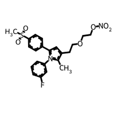 Cc1c(CCOCCO[N+](=O)[O-])cc(-c2ccc(S(C)(=O)=O)cc2)n1-c1cccc(F)c1